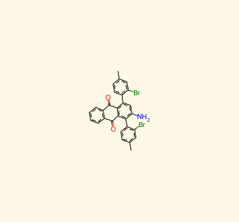 Cc1ccc(-c2cc(N)c(-c3ccc(C)cc3Br)c3c2C(=O)c2ccccc2C3=O)c(Br)c1